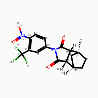 O=C1[C@@H]2[C@H]3CC[C@H](C3)[C@@H]2C(=O)N1c1ccc([N+](=O)[O-])c(C(F)(F)F)c1